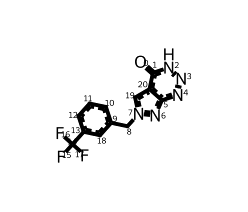 O=c1[nH]nnc2nn(Cc3cccc(C(F)(F)F)c3)cc12